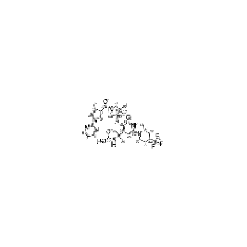 Cc1nn(-c2ncccn2)cc1C(=O)N1C[C@@H]2C(Oc3cc(C(C)(C)NC(=O)O)cc(N4CCC(C(F)(F)F)CC4C)n3)[C@@H]2C1